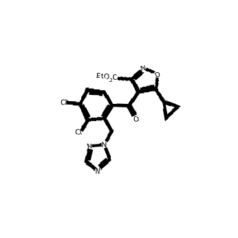 CCOC(=O)c1noc(C2CC2)c1C(=O)c1ccc(Cl)c(Cl)c1Cn1cncn1